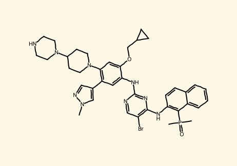 Cn1cc(-c2cc(Nc3ncc(Br)c(Nc4ccc5ccccc5c4P(C)(C)=O)n3)c(OCC3CC3)cc2N2CCC(N3CCNCC3)CC2)cn1